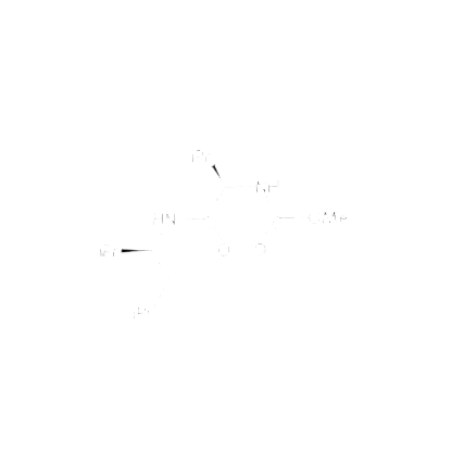 COC(=O)N[C@@H](C(=O)N[C@@H](CC(C)C)C(C)C)C(C)C